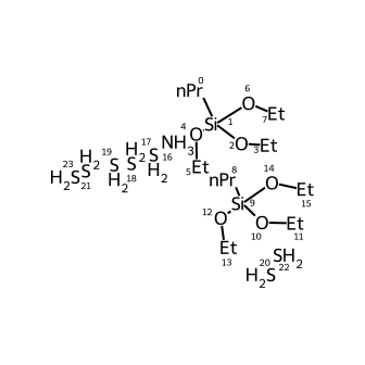 CCC[Si](OCC)(OCC)OCC.CCC[Si](OCC)(OCC)OCC.N.S.S.S.S.S.S.S